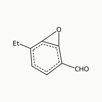 CCc1ccc(C=O)c2c1O2